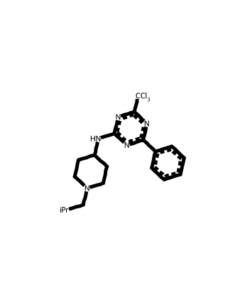 CC(C)CN1CCC(Nc2nc(-c3ccccc3)nc(C(Cl)(Cl)Cl)n2)CC1